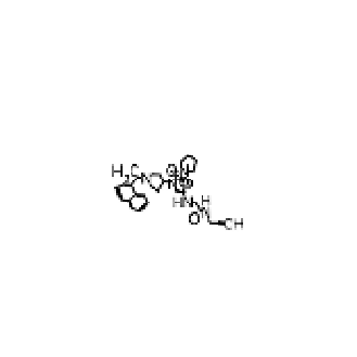 C#CCNC(=O)CNC(=O)CN(C1CCN(C(C)c2cccc3ccccc23)CC1)S(=O)(=O)N1CCCC1